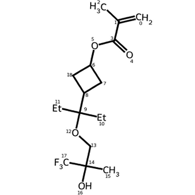 C=C(C)C(=O)OC1CC(C(CC)(CC)OCC(C)(O)C(F)(F)F)C1